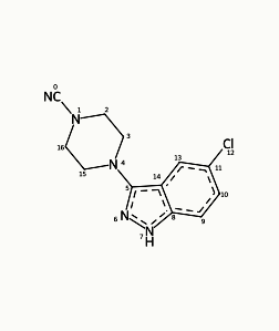 N#CN1CCN(c2n[nH]c3ccc(Cl)cc23)CC1